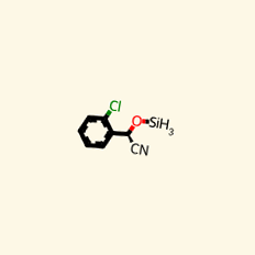 N#C[C@H](O[SiH3])c1ccccc1Cl